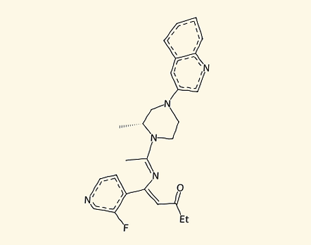 CCC(=O)/C=C(\N=C(/C)N1CCN(c2cnc3ccccc3c2)C[C@H]1C)c1ccncc1F